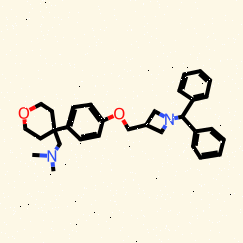 CN(C)CC1(c2ccc(OCC3CN(C(c4ccccc4)c4ccccc4)C3)cc2)CCOCC1